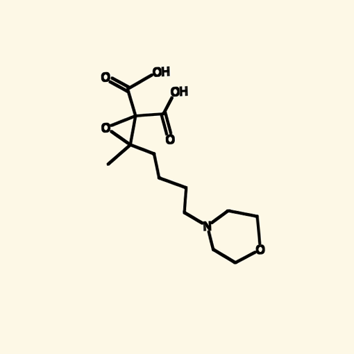 CC1(CCCCN2CCOCC2)OC1(C(=O)O)C(=O)O